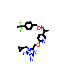 CC(=NOCc1ccc(C(C)(F)F)cc1)c1ccc(OCC2=NNNN2CC2CC2)nc1